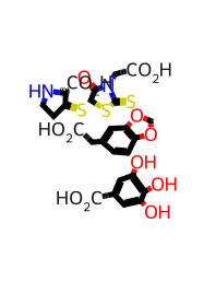 O=C(O)CN1C(=O)CSC1=S.O=C(O)Cc1ccc2c(c1)OCO2.O=C(O)[C@H]1NCCC1=S.O=C(O)c1cc(O)c(O)c(O)c1